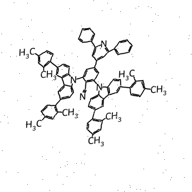 Cc1ccc(-c2ccc3c(c2)c2cc(-c4ccc(C)cc4C)ccc2n3-c2cc(-c3cc(-c4ccccc4)nc(-c4ccccc4)c3)cc(-n3c4ccc(-c5ccc(C)cc5C)cc4c4cc(-c5ccc(C)cc5C)ccc43)c2C#N)c(C)c1